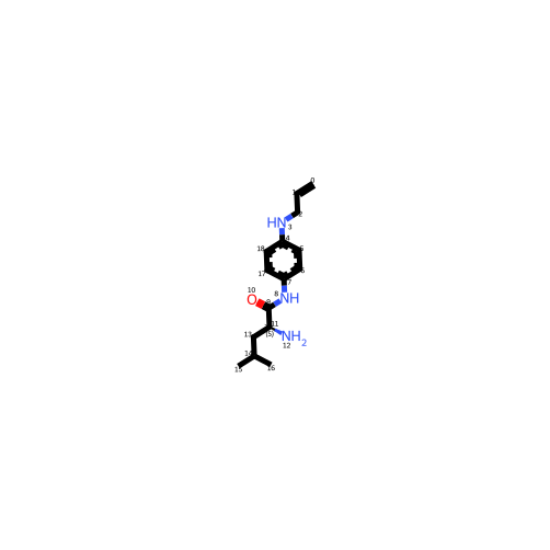 C=CCNc1ccc(NC(=O)[C@@H](N)CC(C)C)cc1